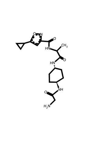 CC(NC(=O)c1cc(C2CC2)on1)C(=O)N[C@H]1CC[C@H](NC(=O)CN)CC1